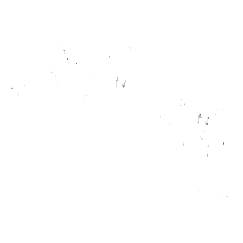 CC(C)(C#N)NC(=O)c1cccc(-c2cnc3c(ccn3S(=O)(=O)c3ccccc3)c2I)n1